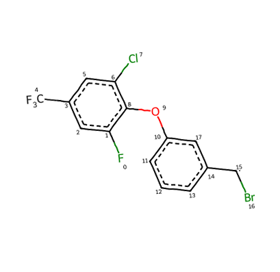 Fc1cc(C(F)(F)F)cc(Cl)c1Oc1cccc([CH]Br)c1